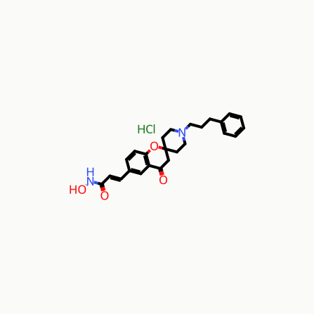 Cl.O=C(C=Cc1ccc2c(c1)C(=O)CC1(CCN(CCCc3ccccc3)CC1)O2)NO